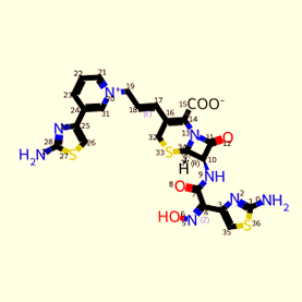 Nc1nc(/C(=N/O)C(=O)N[C@@H]2C(=O)N3C(C(=O)[O-])=C(/C=C/C[n+]4cccc(-c5csc(N)n5)c4)CS[C@H]23)cs1